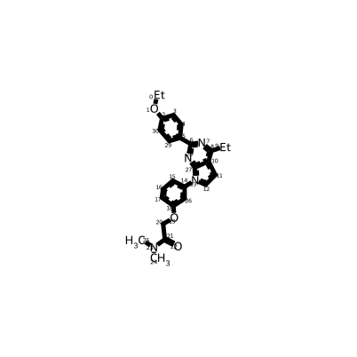 CCOc1ccc(-c2nc(CC)c3ccn(-c4cccc(OCC(=O)N(C)C)c4)c3n2)cc1